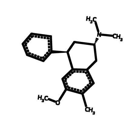 COc1cc2c(cc1C)C[C@@H](N(C)C)C[C@@H]2c1ccccc1